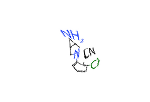 N#Cc1c(Cl)cccc1N1CC2C(N)C2C1